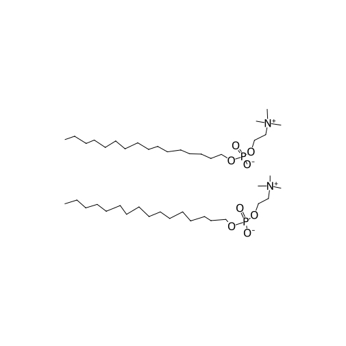 CCCCCCCCCCCCCCCCOP(=O)([O-])OCC[N+](C)(C)C.CCCCCCCCCCCCCCCCOP(=O)([O-])OCC[N+](C)(C)C